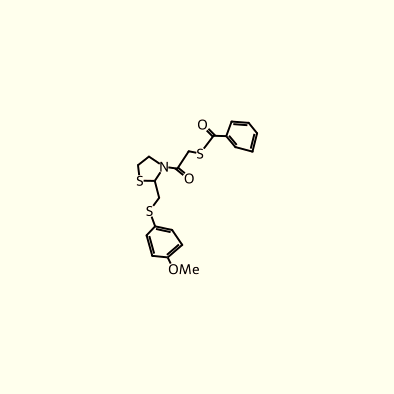 COc1ccc(SCC2SCCN2C(=O)CSC(=O)c2ccccc2)cc1